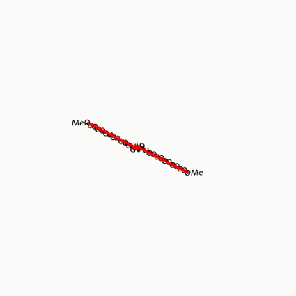 COCCOCCOCCOCCOCCOCCOCCOCCOCCOCCOCCOCCNC(=O)c1cnc(C(=O)NCCOCCOCCOCCOCCOCCOCCOCCOCCOCCOCCOCCOC)cn1